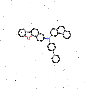 c1ccc(-c2ccc(N(c3ccc4c(ccc5c6ccccc6oc45)c3)c3ccc4ccc5ccccc5c4c3)cc2)cc1